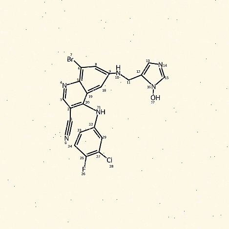 N#Cc1cnc2c(Br)cc(NCc3cncn3O)cc2c1Nc1ccc(F)c(Cl)c1